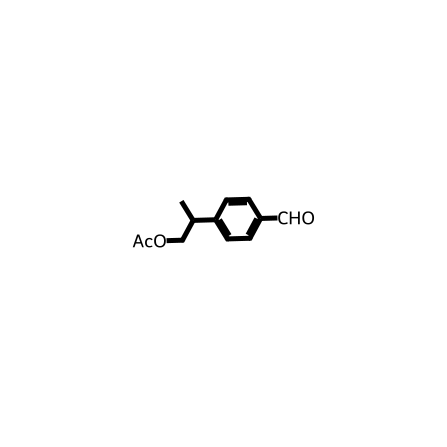 CC(=O)OCC(C)c1ccc(C=O)cc1